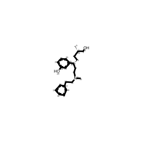 C[C@H](CO)CC[C@H](CCN(C)CCc1ccccc1)c1cccc(O)c1